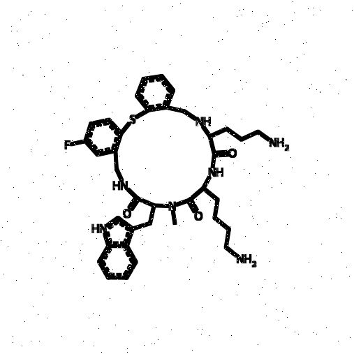 CN1C(=O)C(CCCCN)NC(=O)C(CCCN)NCc2ccccc2Sc2ccc(F)cc2CNC(=O)C1Cc1c[nH]c2ccccc12